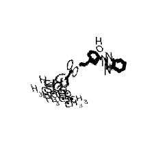 CC(C[Si](C)(O[Si](C)(C)C)O[Si](C)(C)C)C(=O)OCCc1ccc(O)c(-n2nc3ccccc3n2)c1